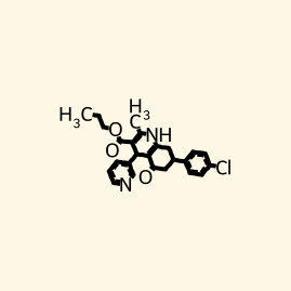 CCCOC(=O)C1=C(C)NC2=C(C(=O)CC(c3ccc(Cl)cc3)C2)C1c1cccnc1